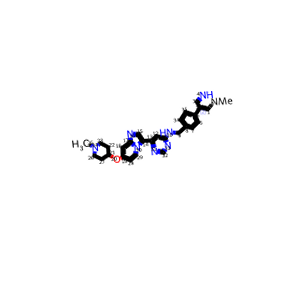 CN/C=C(\C=N)c1ccc(CNc2cc(-c3cnc4cc(OC5CCN(C)CC5)ccn34)ncn2)cc1